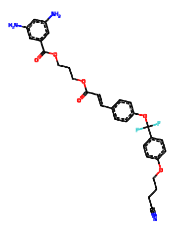 N#CCCCOc1ccc(C(F)(F)Oc2ccc(C=CC(=O)OCCCOC(=O)c3cc(N)cc(N)c3)cc2)cc1